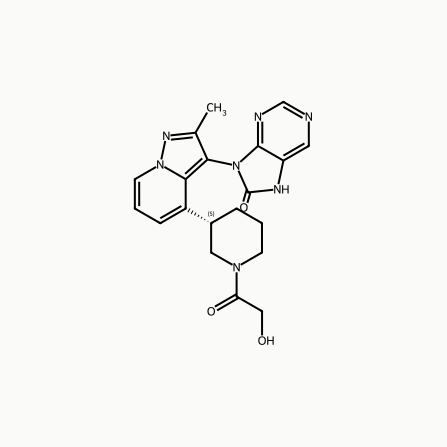 Cc1nn2cccc([C@@H]3CCCN(C(=O)CO)C3)c2c1-n1c(=O)[nH]c2cncnc21